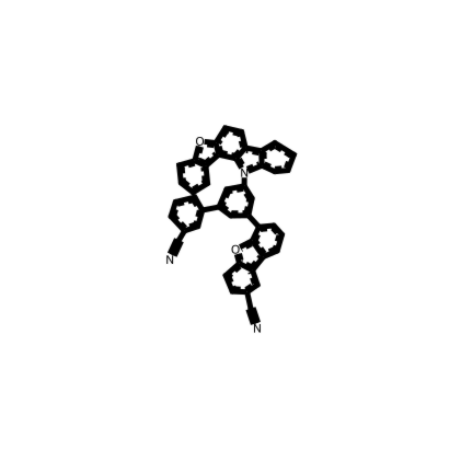 N#Cc1cccc(-c2cc(-c3cccc4c3oc3ccc(C#N)cc34)cc(-n3c4ccccc4c4ccc5oc6ccccc6c5c43)c2)c1